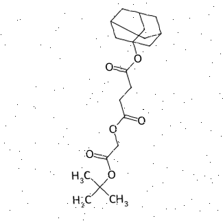 CC(C)(C)OC(=O)COC(=O)CCC(=O)OC12CC3CC(CC(C3)C1)C2